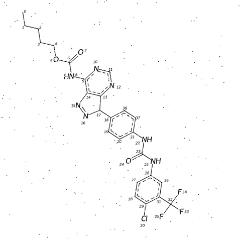 CCCCCOC(=O)Nc1ncnc2c1N=NC2c1ccc(NC(=O)Nc2ccc(Cl)c(C(F)(F)F)c2)cc1